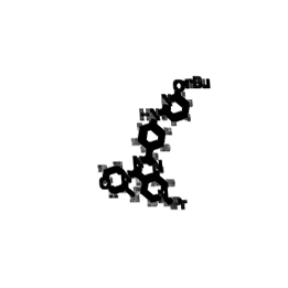 CCCCOc1cccc(Nc2ccc(-c3nc4c(c(N5CCOC[C@@H]5C)n3)CCN(C(C)C)C4)cc2)n1